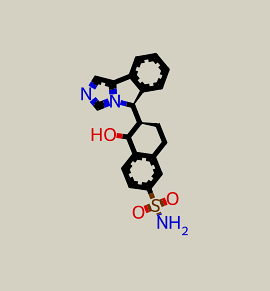 NS(=O)(=O)c1ccc2c(c1)CC[C@H]([C@@H]1c3ccccc3-c3cncn31)C2O